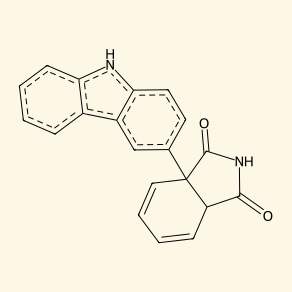 O=C1NC(=O)C2(c3ccc4[nH]c5ccccc5c4c3)C=CC=CC12